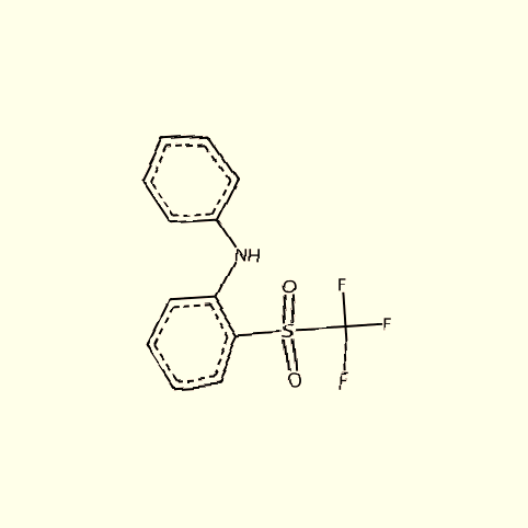 O=S(=O)(c1ccccc1Nc1ccccc1)C(F)(F)F